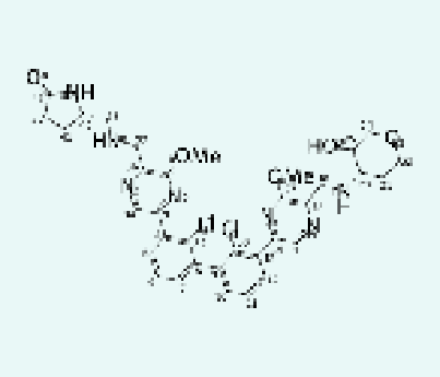 COc1nc(-c2cccc(-c3cccc(-c4cnc(CN[C@H]5CCOC[C@@H]5O)c(OC)n4)c3Cl)c2Cl)cnc1CNC[C@@H]1CCC(=O)N1